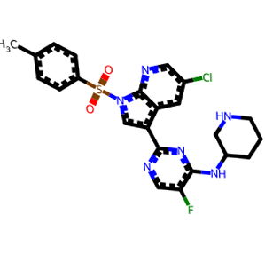 Cc1ccc(S(=O)(=O)n2cc(-c3ncc(F)c(NC4CCCNC4)n3)c3cc(Cl)cnc32)cc1